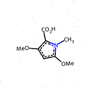 COc1cc(OC)n(C)c1C(=O)O